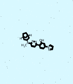 CN(c1ccc(-c2ccc(-n3cccn3)cc2O)nn1)[C@H]1C[C@@H]2CC[C@@H](C2)C1